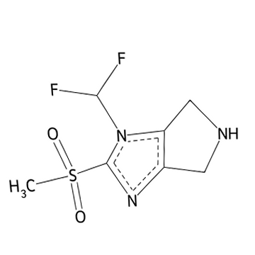 CS(=O)(=O)c1nc2c(n1C(F)F)CNC2